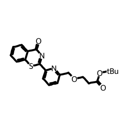 CC(C)(C)OC(=O)CCOCc1cccc(-c2nc(=O)c3ccccc3s2)n1